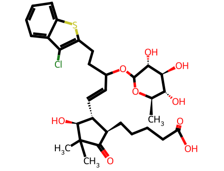 C[C@H]1OC(OC(/C=C/[C@@H]2[C@@H](CCCCC(=O)O)C(=O)C(C)(C)[C@H]2O)CCc2sc3ccccc3c2Cl)[C@H](O)[C@@H](O)[C@@H]1O